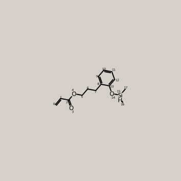 C=CC(=O)OCCCc1ccccc1O[SiH](C)C